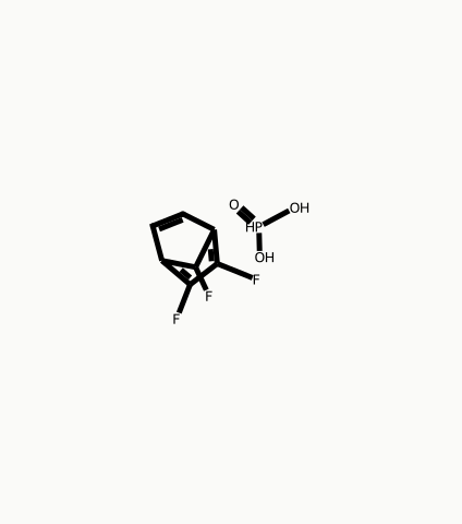 FC1=C2C=CC(=C1F)C2F.O=[PH](O)O